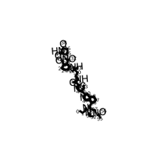 CCc1nc(-c2cccc3cc(-c4ccc(C(=O)NCCC(C)(C)Nc5cccc6c5C(=O)N(C5CCC(=O)NC5=O)C6=O)nc4)ncc23)c2n1CCN(C(C)=O)C2